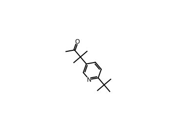 CC(=O)C(C)(C)c1ccc(C(C)(C)C)nc1